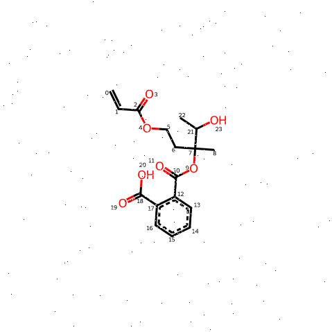 C=CC(=O)OCCC(C)(OC(=O)c1ccccc1C(=O)O)C(C)O